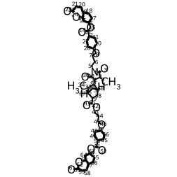 CC1C(=O)N(CCCOc2ccc(C(=O)Oc3ccc4ccc(=O)oc4c3)cc2)C(=O)C1C1C(C)[C@@H]2C[C@H]1CC2C(=O)OCCCOc1ccc(C(=O)Oc2ccc3ccc(=O)oc3c2)cc1